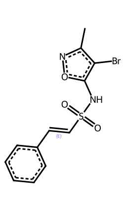 Cc1noc(NS(=O)(=O)/C=C/c2ccccc2)c1Br